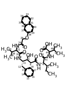 CC[C@H](C)[C@H](NC(=O)C[C@H](O)[C@H](Cc1ccccc1)NC(=O)C(NC(=O)COc1ccc2ccccc2c1)C(C)C)C(=O)NC(C(=O)O)C(C)C